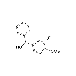 COc1ccc(C(O)c2ccccc2)cc1Cl